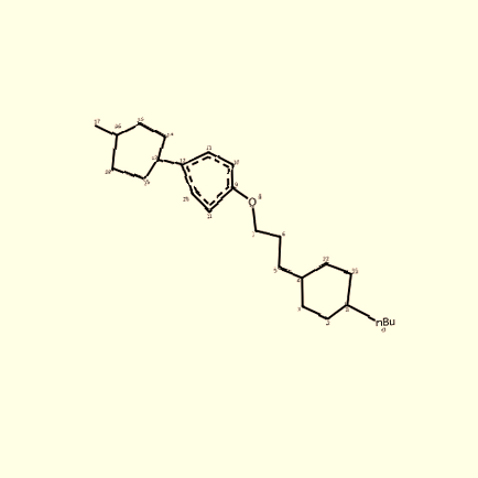 CCCCC1CCC(CCCOc2ccc(C3CCC(C)CC3)cc2)CC1